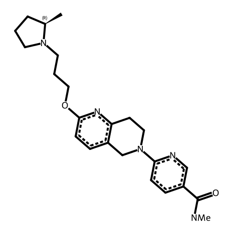 CNC(=O)c1ccc(N2CCc3nc(OCCCN4CCC[C@H]4C)ccc3C2)nc1